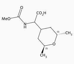 COC(=O)NC(C(=O)O)C1C[C@H](C)O[C@@H](C)C1